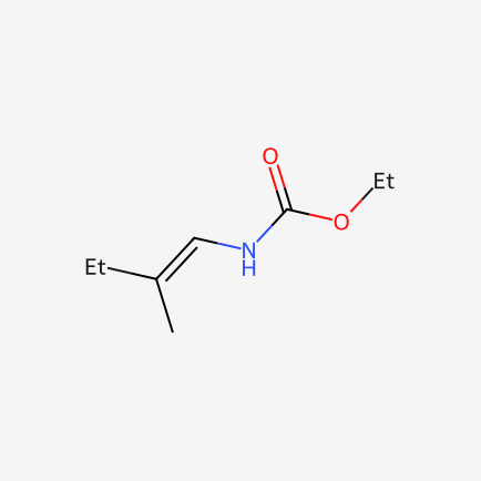 CCOC(=O)NC=C(C)CC